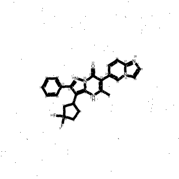 Cc1[nH]c2c(C3CCC(F)(F)C3)c(-c3ccccc3)nn2c(=O)c1-c1ccc2nccn2c1